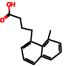 Cc1cccc2cccc(CCCC(=O)O)c12